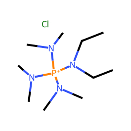 CCN(CC)[P+](N(C)C)(N(C)C)N(C)C.[Cl-]